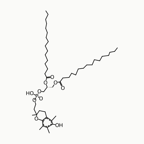 CCCCCCCCCCCCCCCC(=O)OC[C@H](COP(=O)(O)OCCC1(C)CCc2c(C)c(O)c(C)c(C)c2O1)OC(=O)CCCCCCCCCCCCCCC